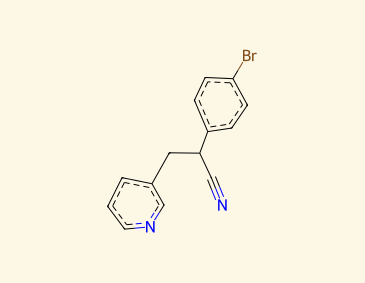 N#CC(Cc1cccnc1)c1ccc(Br)cc1